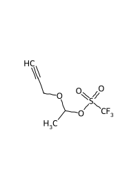 C#CCOC(C)OS(=O)(=O)C(F)(F)F